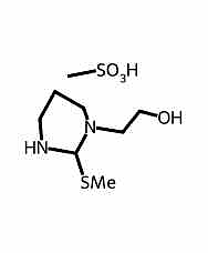 CS(=O)(=O)O.CSC1NCCCN1CCO